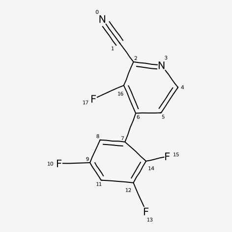 N#Cc1nccc(-c2cc(F)cc(F)c2F)c1F